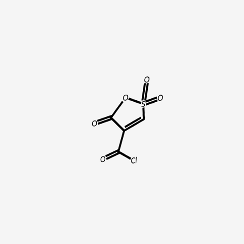 O=C(Cl)C1=CS(=O)(=O)OC1=O